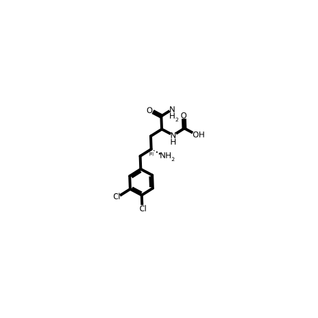 NC(=O)C(C[C@H](N)Cc1ccc(Cl)c(Cl)c1)NC(=O)O